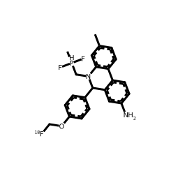 Cc1ccc2c(c1)N(C[PH](C)(F)F)C(c1ccc(OC[18F])cc1)c1cc(N)ccc1-2